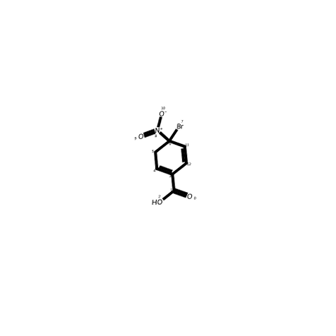 O=C(O)C1=CCC(Br)([N+](=O)[O-])C=C1